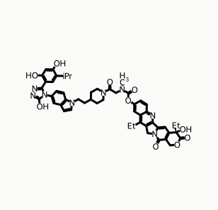 CCc1c2c(nc3ccc(OC(=O)N(C)CC(=O)N4CCC(CCn5ccc6cc(-n7c(O)nnc7-c7cc(C(C)C)c(O)cc7O)ccc65)CC4)cc13)-c1cc3c(c(=O)n1C2)COC(=O)[C@]3(O)CC